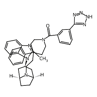 Cc1nc2ccccc2n1[C@H]1C[C@H]2CC[C@@H](C1)N2CCC1(c2ccccc2)CCN(C(=O)c2cccc(-c3nn[nH]n3)c2)CC1